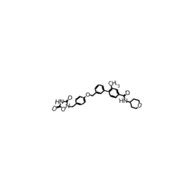 Cc1cc(C(=O)NC2CCOCC2)ccc1-c1cccc(COc2ccc(Cn3oc(=O)[nH]c3=O)cc2)c1